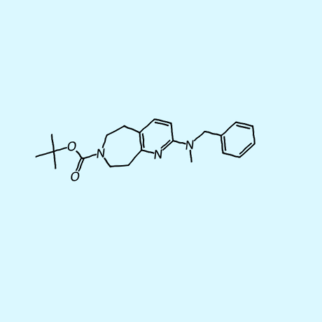 CN(Cc1ccccc1)c1ccc2c(n1)CCN(C(=O)OC(C)(C)C)CC2